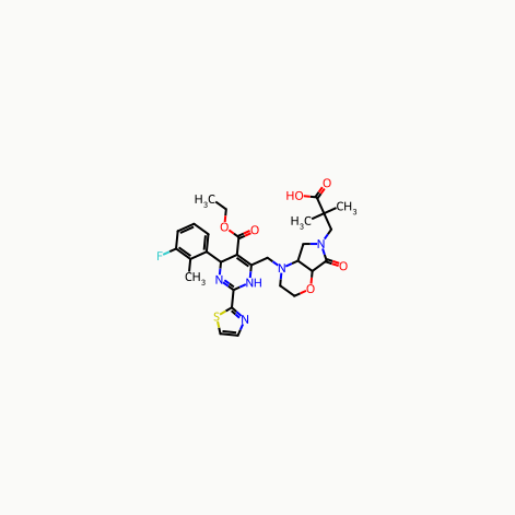 CCOC(=O)C1=C(CN2CCOC3C(=O)N(CC(C)(C)C(=O)O)CC32)NC(c2nccs2)=NC1c1cccc(F)c1C